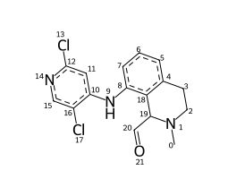 CN1CCc2cccc(Nc3cc(Cl)ncc3Cl)c2C1C=O